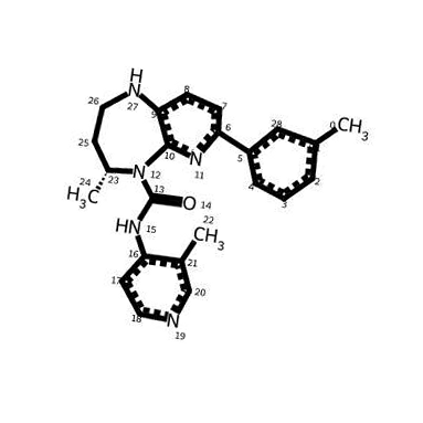 Cc1cccc(-c2ccc3c(n2)N(C(=O)Nc2ccncc2C)[C@H](C)CCN3)c1